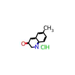 Cc1ccc2c(c1)=CC(=O)CN=2.Cl